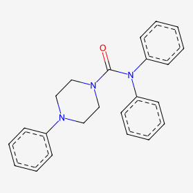 O=C(N1CCN(c2ccccc2)CC1)N(c1ccccc1)c1ccccc1